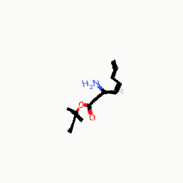 CCC/C=C\C(N)C(=O)OC(C)(C)C